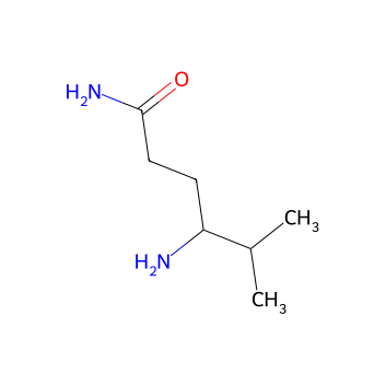 CC(C)C(N)CCC(N)=O